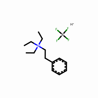 CC[N+](CC)(CC)CCc1ccccc1.F[B-](F)(F)F.[H+]